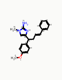 COc1ccc(C(C/C=C/c2ccccc2)c2cn(C)c(N)n2)cc1